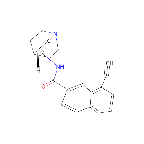 C#Cc1cccc2ccc(C(=O)N[C@H]3CN4CCC3CC4)cc12